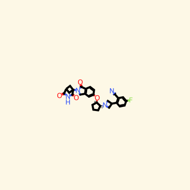 N#Cc1cc(F)ccc1C1CN([C@@H]2CCC[C@H]2Oc2ccc3c(c2)CN(C24CC(C2)C(=O)NC4=O)C3=O)C1